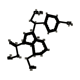 CCOC(=O)CC(c1ccc(C)cc1)c1cn(C(=O)OC(C)(C)C)c2c(CSC)cccc12